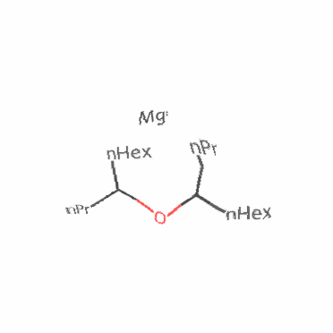 CCCCCCC(CCC)OC(CCC)CCCCCC.[Mg]